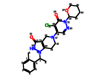 Cc1ccccc1C(C)n1[nH]c(=O)c2c1CCN(c1cnn(C3CCCCO3)c(=O)c1Cl)C2